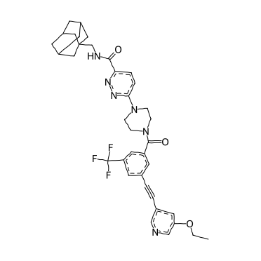 CCOc1cncc(C#Cc2cc(C(=O)N3CCN(c4ccc(C(=O)NCC56CC7CC(CC(C7)C5)C6)nn4)CC3)cc(C(F)(F)F)c2)c1